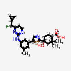 Cc1cc(Nc2nccc([C@H](F)C3CC3)n2)cc(-c2cnc([C@@]3(O)CC[C@H](C(=O)O)C(C)(C)C3)s2)c1